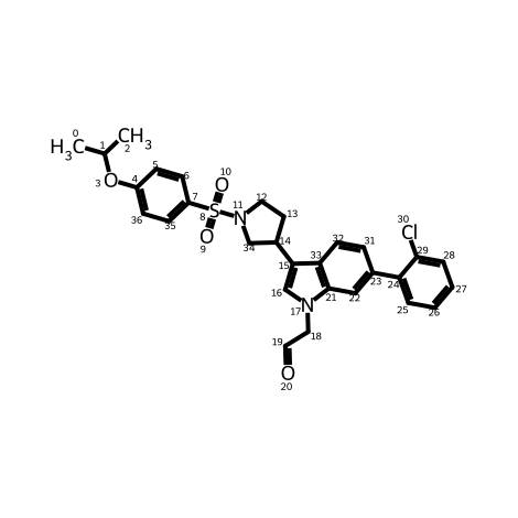 CC(C)Oc1ccc(S(=O)(=O)N2CCC(c3cn(CC=O)c4cc(-c5ccccc5Cl)ccc34)C2)cc1